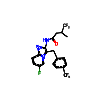 CC(CC(=O)Nc1nc2ccc(F)cn2c1Cc1ccc(C(F)(F)F)cc1)C(F)(F)F